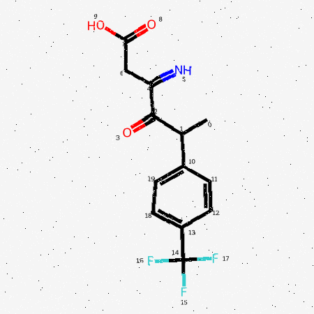 CC(C(=O)C(=N)CC(=O)O)c1ccc(C(F)(F)F)cc1